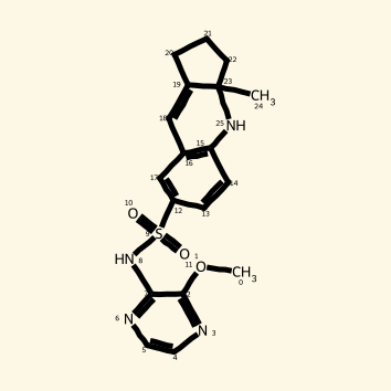 COc1nccnc1NS(=O)(=O)c1ccc2c(c1)C=C1CCCC1(C)N2